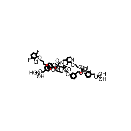 Cc1c(CN(C(=O)C2(C)C(c3ccc(CCCOc4c(F)ccc(F)c4Cl)cc3)CC3CN(C(=O)Oc4cccc(CON(O)O)c4)CC2N3C(=O)Oc2cccc(CON(O)O)c2)C2CC2)ccnc1OCCOC(=O)Oc1cccc(CON(O)O)c1